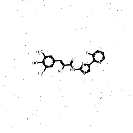 Cc1cc(/C=C(\C#N)C(=O)Nc2nc(-c3ncccc3F)cs2)cc(C)c1O